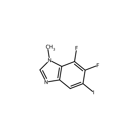 Cn1cnc2cc(I)c(F)c(F)c21